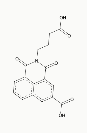 O=C(O)CCCN1C(=O)c2cccc3cc(C(=O)O)cc(c23)C1=O